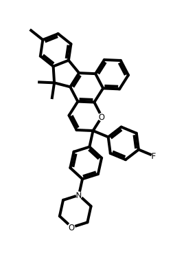 Cc1ccc2c(c1)C(C)(C)c1c3c(c4ccccc4c1-2)OC(c1ccc(F)cc1)(c1ccc(N2CCOCC2)cc1)C=C3